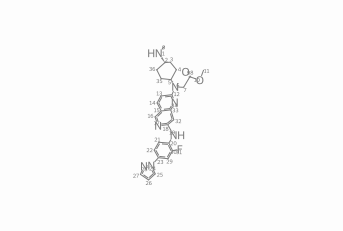 CN[C@H]1CC[C@@H](N(CC(=O)OC)c2ccc3cnc(Nc4ccc(-n5cccn5)cc4F)cc3n2)CC1